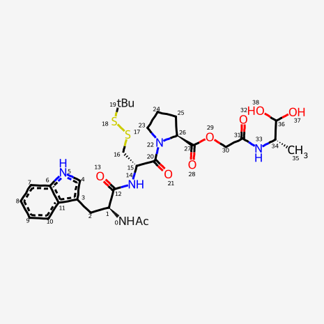 CC(=O)N[C@@H](Cc1c[nH]c2ccccc12)C(=O)N[C@H](CSSC(C)(C)C)C(=O)N1CCC[C@H]1C(=O)OCC(=O)N[C@@H](C)C(O)O